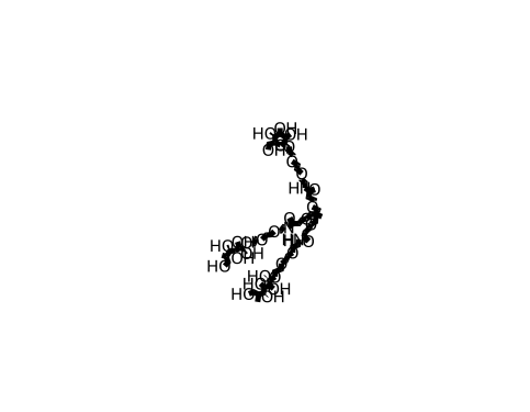 CC(CO)[C@@H](O)C(O)C(O)[C@H](O)OCCOCCOCCNC(=O)CCOCC(C)(COCCC(=O)NCCOCCOCCO[C@H]1OC(CO)[C@@H](O)C(O)C1O)COCCC(=O)NCCOCCOCCO[C@@H](O)C(O)C(O)[C@H](O)C(C)CO